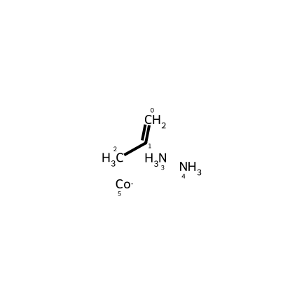 C=CC.N.N.[Co]